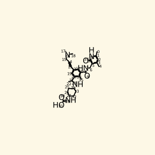 Cc1cc(C)c(CNC(=O)c2cc(C#CCN(C)C)cc(C(C)N[C@H]3CC[C@H](NC(=O)O)CC3)c2C)c(=O)[nH]1